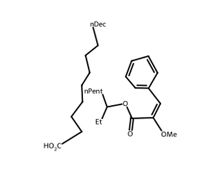 CCCCCC(CC)OC(=O)C(=Cc1ccccc1)OC.CCCCCCCCCCCCCCCCCC(=O)O